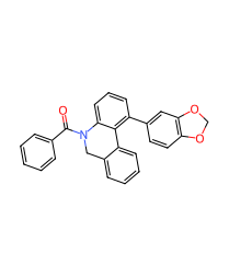 O=C(c1ccccc1)N1Cc2ccccc2-c2c(-c3ccc4c(c3)OCO4)cccc21